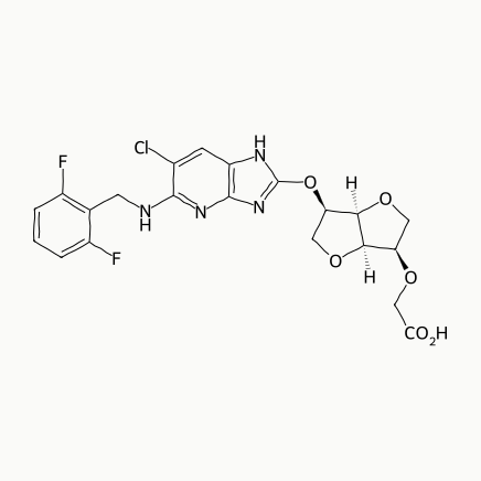 O=C(O)CO[C@@H]1CO[C@H]2[C@@H]1OC[C@H]2Oc1nc2nc(NCc3c(F)cccc3F)c(Cl)cc2[nH]1